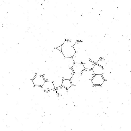 COCCN(CC1CC1C)c1cc(-c2nnc([C@](C)(N)Cc3ccccc3)o2)cc(N(c2ccccc2)S(C)(=O)=O)n1